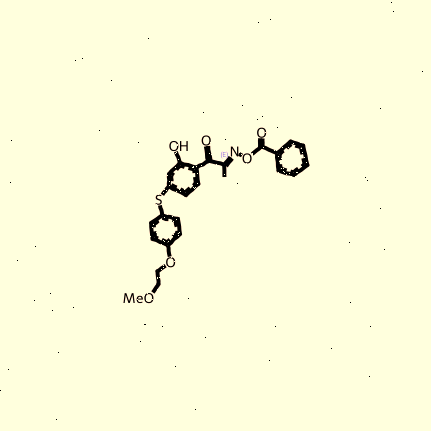 COCCOc1ccc(Sc2ccc(C(=O)/C(C)=N/OC(=O)c3ccccc3)c(O)c2)cc1